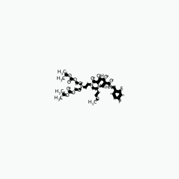 COCC[C@H]1CN(CCP(OCOC(=O)OC(C)C)OCOC(=O)OC(C)C)C(=O)c2c(O)c(=O)c(C(=O)NCc3ccc(F)cc3F)cn21